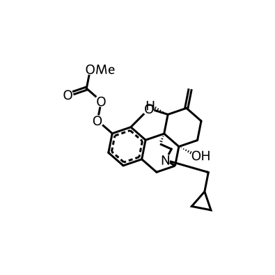 C=C1CC[C@@]2(O)C3Cc4ccc(OOC(=O)OC)c5c4[C@@]2(CCN3CC2CC2)[C@H]1O5